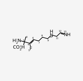 CC(N)(C(=O)O)C(F)=CCCCNCC=N